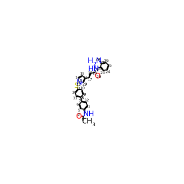 CC(=O)Nc1ccc(-c2ccc(Sn3ccc(/C=C/C(=O)Nc4ccccc4N)c3)cc2)cc1